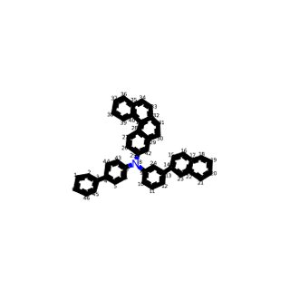 c1ccc(-c2ccc(N(c3cccc(-c4ccc5ccccc5c4)c3)c3ccc4c(ccc5ccc6ccccc6c54)c3)cc2)cc1